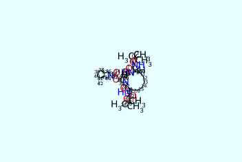 CC(C)(C)ONC(=O)[C@@]12C[C@H]1CCCCCCC[C@H](NC(=O)OC(C)(C)C)C(=O)N1C[C@H](OC(=O)N3Cc4cccc(F)c4C3)C[C@H]1C(=O)N2